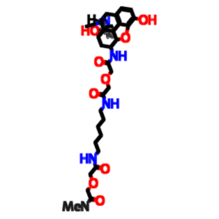 CNC(=O)COCC(=O)NCCCCCCNC(=O)COCC(=O)NC1CC[C@@]2(O)[C@H]3Cc4ccc(O)c5c4[C@@]2(CCN3C)C1O5